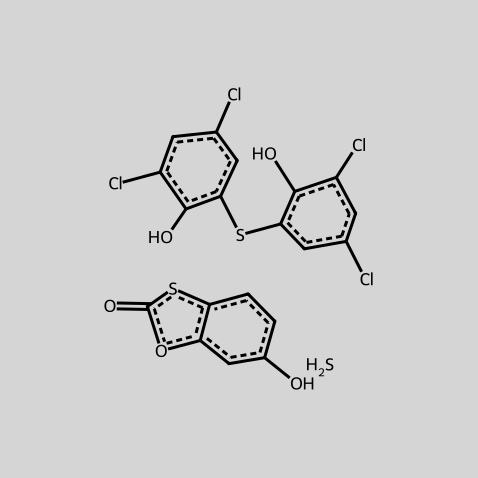 O=c1oc2cc(O)ccc2s1.Oc1c(Cl)cc(Cl)cc1Sc1cc(Cl)cc(Cl)c1O.S